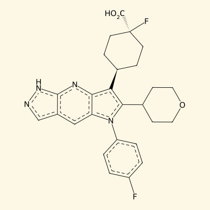 O=C(O)[C@]1(F)CC[C@@H](c2c(C3CCOCC3)n(-c3ccc(F)cc3)c3cc4cn[nH]c4nc32)CC1